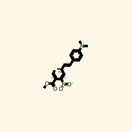 C/C=C(C(=O)OC)\C(=C/[C@@H](C)/C=C/c1ccc(N(C)C)cc1)[N+](=O)[O-]